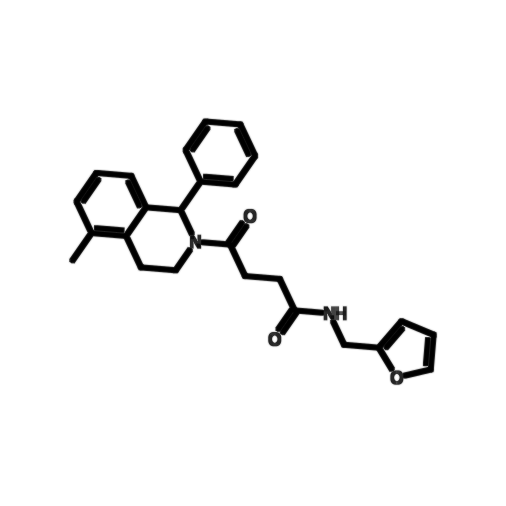 Cc1cccc2c1CCN(C(=O)CCC(=O)NCc1ccco1)C2c1ccccc1